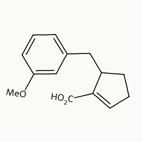 COc1cccc(CC2CCC=C2C(=O)O)c1